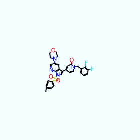 Cc1ccc(S(=O)(=O)n2cc(-c3ccn(Cc4cccc(F)c4F)c(=O)c3)c3cc(N4CCOCC4)cnc32)cc1